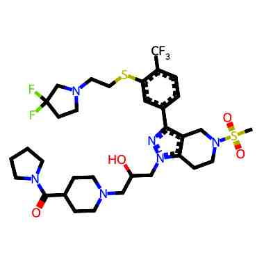 CS(=O)(=O)N1CCc2c(c(-c3ccc(C(F)(F)F)c(SCCN4CCC(F)(F)C4)c3)nn2CC(O)CN2CCC(C(=O)N3CCCC3)CC2)C1